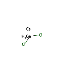 [Cl][GeH2][Cl].[Cs]